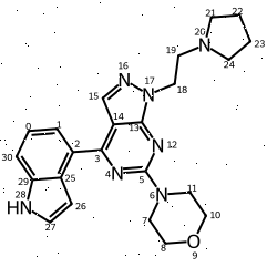 c1cc(-c2nc(N3CCOCC3)nc3c2cnn3CCN2CCCC2)c2cc[nH]c2c1